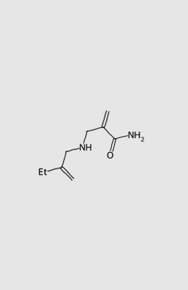 C=C(CC)CNCC(=C)C(N)=O